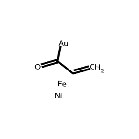 C=C[C](=O)[Au].[Fe].[Ni]